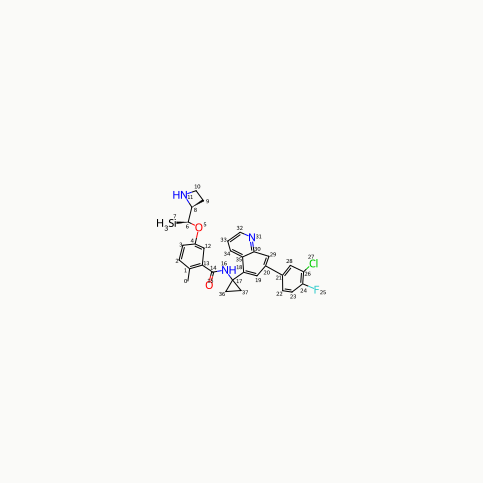 Cc1ccc(O[C@@H]([SiH3])[C@@H]2CCN2)cc1C(=O)NC1(c2cc(-c3ccc(F)c(Cl)c3)cc3ncccc23)CC1